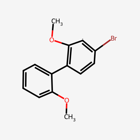 COc1[c]c(Br)ccc1-c1ccccc1OC